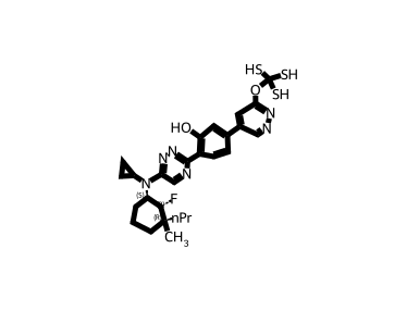 CCC[C@]1(C)CCC[C@H](N(c2cnc(-c3ccc(-c4cnnc(OC(S)(S)S)c4)cc3O)nn2)C2CC2)[C@@H]1F